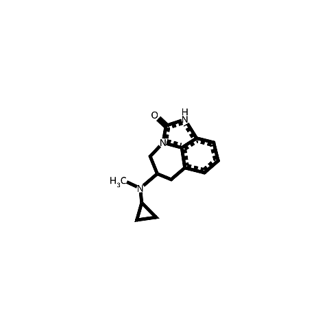 CN(C1CC1)C1Cc2cccc3[nH]c(=O)n(c23)C1